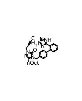 CC#CCn1nc(CCCCCCCC)n(Cc2ccc(-c3ccccc3-c3nnn[nH]3)cc2)c1=O